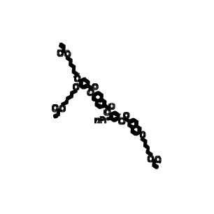 C=CC(=O)OCCCCCCOc1ccc2cc(C(=O)Oc3ccc(OC(=O)c4ccc5c(c4)CCC(OC(=O)c4ccc(OCCCCCCOC(=O)C=C)c(OCCCCCCOC(=O)C=C)c4)C5)c(CCC)c3)ccc2c1